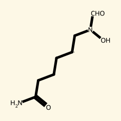 NC(=O)CCC[CH]CN(O)C=O